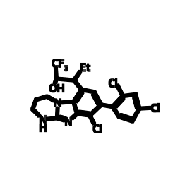 CCC(c1cc(-c2ccc(Cl)cc2Cl)c(Cl)c2nc3n(c12)CCCN3)C(O)C(F)(F)F